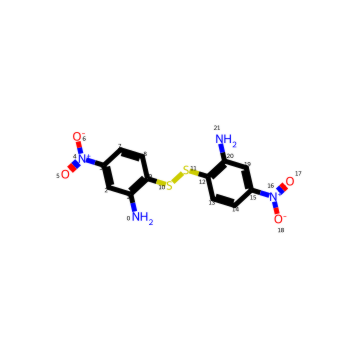 Nc1cc([N+](=O)[O-])ccc1SSc1ccc([N+](=O)[O-])cc1N